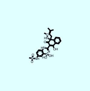 CONC1(CC=C(C)C)C(=O)C(C2=NS(O)(O)c3cc(NS(C)(=O)=O)ccc3N2)=C(O)c2ccccc21